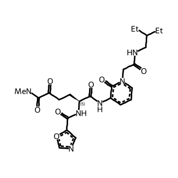 CCC(CC)CNC(=O)Cn1cccc(NC(=O)[C@H](CCC(=O)C(=O)NC)NC(=O)c2cnco2)c1=O